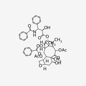 CC(=O)OC1C(=O)[C@@]2(C)[C@H]([C@H](OC(=O)c3ccccc3)C3(O)C[C@H](OC(=O)[C@H](O)C(NC(=O)c4ccccc4)c4ccccc4)C(C)=C1C3(C)C)[C@]1(OC(C)=O)CO[C@@H]1C[C@@H]2O